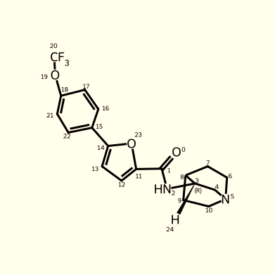 O=C(N[C@H]1CN2CCC1CC2)c1ccc(-c2ccc(OC(F)(F)F)cc2)o1